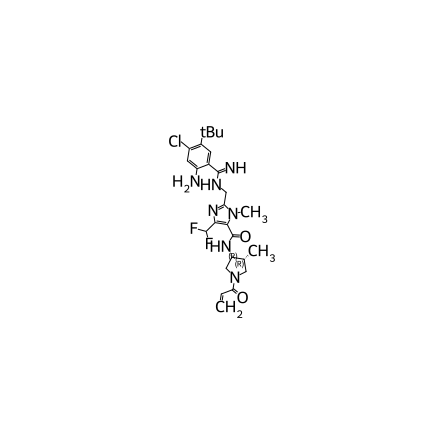 C=CC(=O)N1C[C@@H](C)[C@@H](NC(=O)c2c(C(F)F)nc(CNC(=N)c3cc(C(C)(C)C)c(Cl)cc3N)n2C)C1